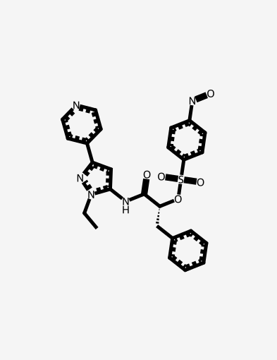 CCn1nc(-c2ccncc2)cc1NC(=O)[C@@H](Cc1ccccc1)OS(=O)(=O)c1ccc(N=O)cc1